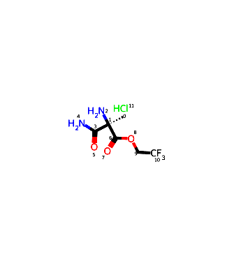 C[C@@](N)(C(N)=O)C(=O)OCC(F)(F)F.Cl